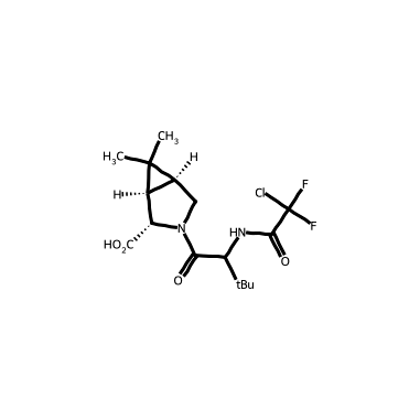 CC(C)(C)C(NC(=O)C(F)(F)Cl)C(=O)N1C[C@H]2[C@@H]([C@H]1C(=O)O)C2(C)C